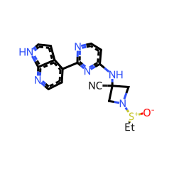 CC[S+]([O-])N1CC(C#N)(Nc2ccnc(-c3ccnc4[nH]ccc34)n2)C1